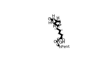 CCCCCOP(=O)(O)OC(=O)CCCC[C@@H]1SC[C@@H]2NC(=O)N[C@@H]21